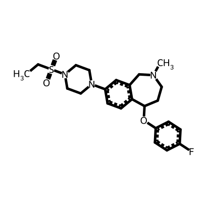 CCS(=O)(=O)N1CCN(c2ccc3c(c2)CN(C)CCC3Oc2ccc(F)cc2)CC1